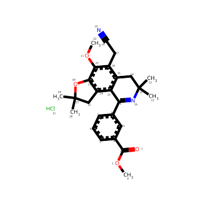 COC(=O)c1cccc(C2=NC(C)(C)Cc3c(CC#N)c(OC)c4c(c32)CC(C)(C)O4)c1.Cl